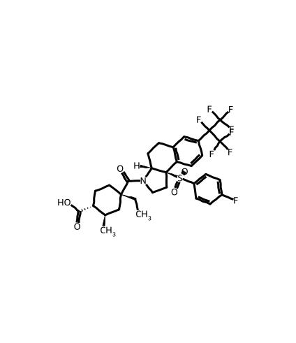 CC[C@]1(C(=O)N2CC[C@@]3(S(=O)(=O)c4ccc(F)cc4)c4ccc(C(F)(C(F)(F)F)C(F)(F)F)cc4CC[C@@H]23)CC[C@@H](C(=O)O)[C@H](C)C1